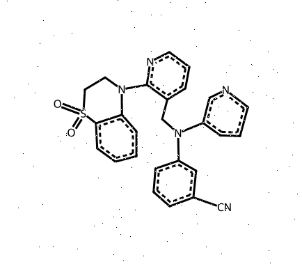 N#Cc1cccc(N(Cc2cccnc2N2CCS(=O)(=O)c3ccccc32)c2cccnc2)c1